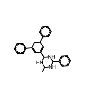 IC1NC(C2=CC(c3ccccc3)CC(c3ccccc3)=C2)NC(c2ccccc2)N1